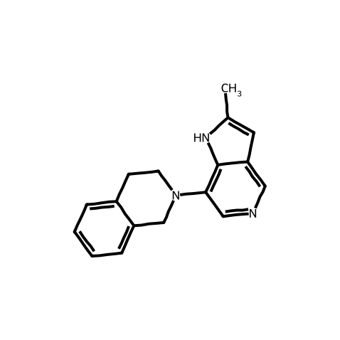 Cc1cc2cncc(N3CCc4ccccc4C3)c2[nH]1